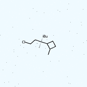 CC[C@@H](C)[C@](C)(CCCl)C1CCC1C